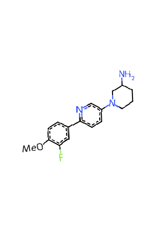 COc1ccc(-c2ccc(N3CCCC(N)C3)cn2)cc1F